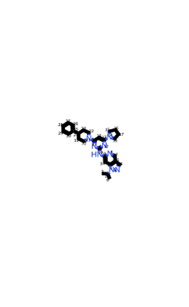 CC(C)n1ncc2cnc(Nc3nc(N4CCCC4)cc(N4CCC(c5ccccc5)CC4)n3)cc21